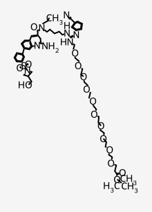 CCCN(CCCCCN/C(=N\c1cccc(C#N)c1)NCCOCCOCCOCCOCCOCCOCCOCCOCCOCCOCCC(=O)OC(C)(C)C)C(=O)C1=Cc2ccc(-c3cccc(S(=O)(=O)N4CC(CO)C4)c3)cc2N=C(N)C1